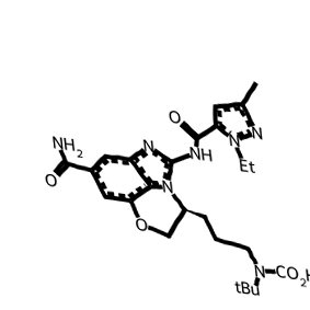 CCn1nc(C)cc1C(=O)Nc1nc2cc(C(N)=O)cc3c2n1[C@@H](CCCN(C(=O)O)C(C)(C)C)CO3